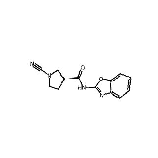 N#CN1CC[C@H](C(=O)Nc2nc3ccccc3o2)C1